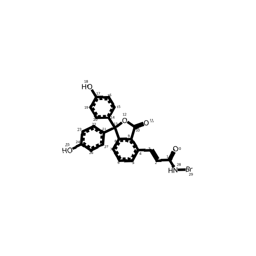 O=C(C=Cc1cccc2c1C(=O)OC2(c1ccc(O)cc1)c1ccc(O)cc1)NBr